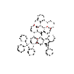 c1ccc(-n2c3ccccc3c3c(N(c4ccccc4-c4ccc5c(c4)C(c4ccccc4)(c4ccccc4)c4ccccc4-5)c4ccccc4-c4cccc5cccc(C6CCCCC6)c45)cccc32)cc1